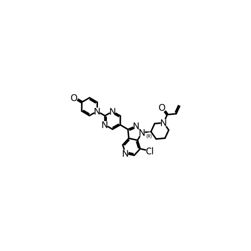 C=CC(=O)N1CCC[C@@H](n2nc(-c3cnc(-n4ccc(=O)cc4)nc3)c3cncc(Cl)c32)C1